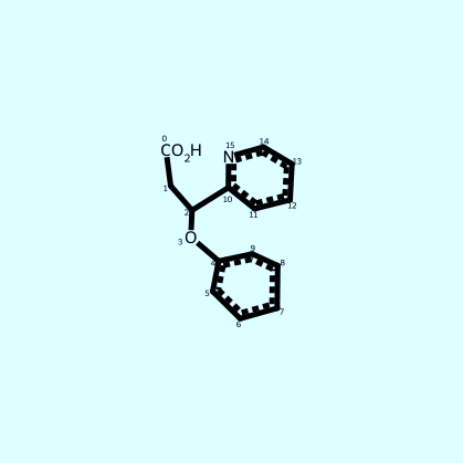 O=C(O)CC(Oc1ccccc1)c1ccccn1